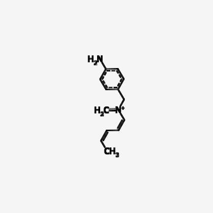 C=[N+](/C=C\C=C/C)Cc1ccc(N)cc1